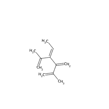 C=C(C)C(=C)C(=CC)C(=C)C